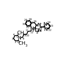 C[C@@H]1CCC[C@H](C)N1CCCCCN1C(=O)C(N=C(N)c2ncccn2)Cc2ccccc21